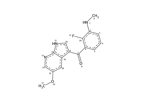 CNc1cccc(C(=O)c2c[nH]c3ncc(OC)cc23)c1F